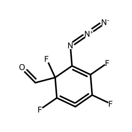 [N-]=[N+]=NC1=C(F)C(F)=C=C(F)C1(F)C=O